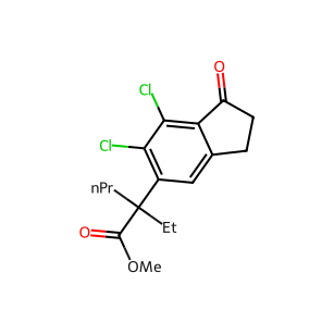 CCCC(CC)(C(=O)OC)c1cc2c(c(Cl)c1Cl)C(=O)CC2